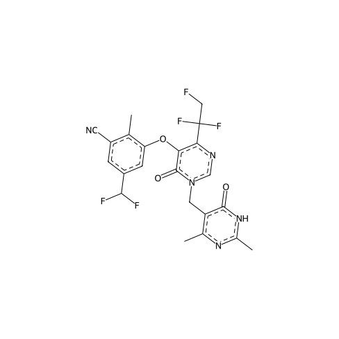 Cc1nc(C)c(Cn2cnc(C(F)(F)CF)c(Oc3cc(C(F)F)cc(C#N)c3C)c2=O)c(=O)[nH]1